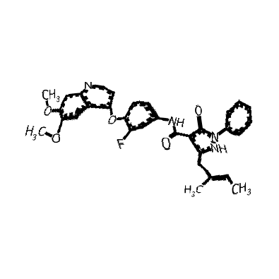 CC=C(C)Cc1[nH]n(-c2ccccc2)c(=O)c1C(=O)Nc1ccc(Oc2ccnc3cc(OC)c(OC)cc23)c(F)c1